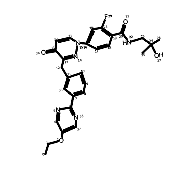 CCOc1cnc(-c2cccc(Cc3nn(-c4ccc(C(=O)NCC(C)(C)O)c(F)c4)ccc3=O)c2)nc1